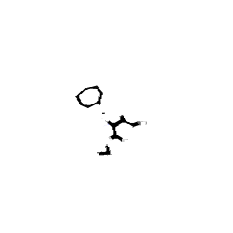 CCOC(=O)/C(=N/OC1CCCCCC1)C(=O)CBr